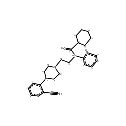 N#Cc1ccccc1N1CCN(CCN(C(=O)C2CCCCC2)c2ccccn2)CC1